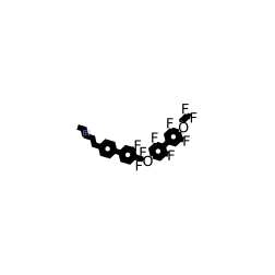 C/C=C/CCc1ccc(-c2ccc(C(F)(F)Oc3cc(F)c(-c4cc(F)c(OC=C(F)F)c(F)c4)c(F)c3)c(F)c2)cc1